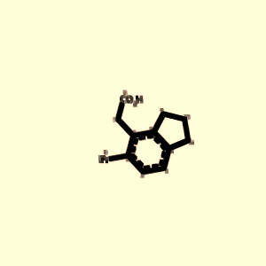 CC(C)c1ccc2c(c1CC(=O)O)CCC2